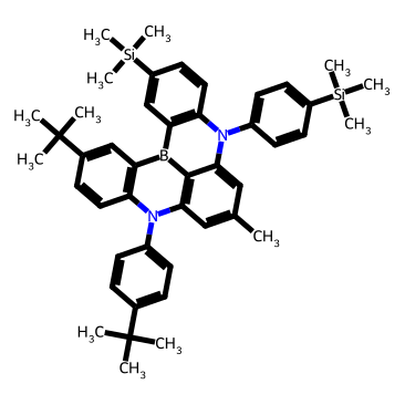 Cc1cc2c3c(c1)N(c1ccc([Si](C)(C)C)cc1)c1ccc([Si](C)(C)C)cc1B3c1cc(C(C)(C)C)ccc1N2c1ccc(C(C)(C)C)cc1